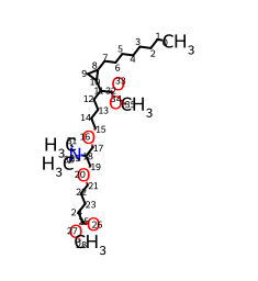 CCCCCCCCC1CC1C(CCCCOCC(COCCCCC(=O)OC)N(C)C)C(=O)OC